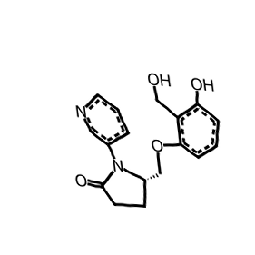 O=C1CC[C@@H](COc2cccc(O)c2CO)N1c1cccnc1